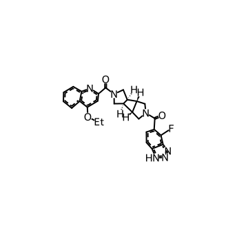 CCOc1cc(C(=O)N2C[C@@H]3[C@H](C2)[C@H]2CN(C(=O)c4ccc5[nH]nnc5c4F)C[C@@H]32)nc2ccccc12